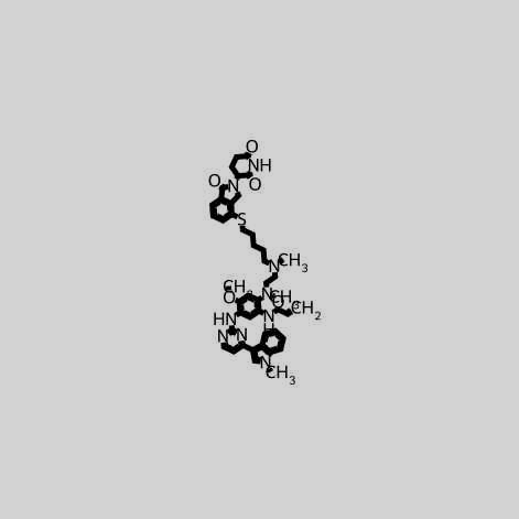 C=CC(=O)Nc1cc(Nc2nccc(-c3cn(C)c4ccccc34)n2)c(OC)cc1N(C)CCN(C)CCCCCSc1cccc2c1CN(C1CCC(=O)NC1=O)C2=O